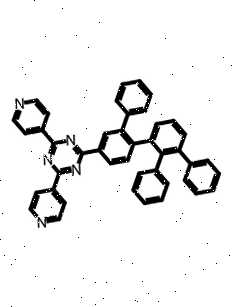 c1ccc(-c2cc(-c3nc(-c4ccncc4)nc(-c4ccncc4)n3)ccc2-c2cccc(-c3ccccc3)c2-c2ccccc2)cc1